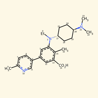 CCN(c1cc(-c2ccc(C)nc2)cc(C(=O)O)c1C)[C@H]1CC[C@H](N(C)C)CC1